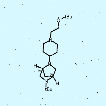 CC(C)(C)OCCN1CCC(N2C[C@H]3C[C@@H]2CN3C(C)(C)C)CC1